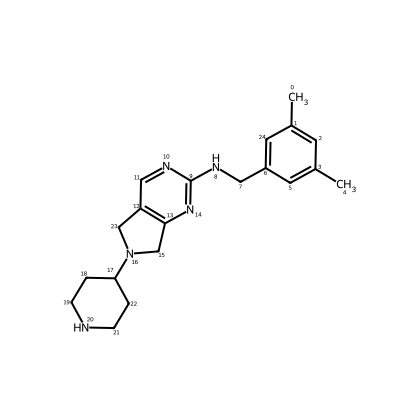 Cc1cc(C)cc(CNc2ncc3c(n2)CN(C2CCNCC2)C3)c1